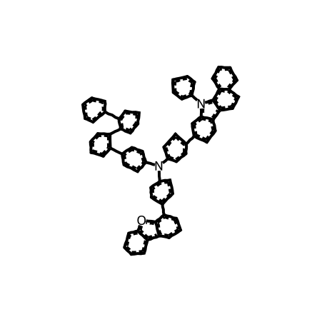 c1ccc(-c2ccccc2-c2ccccc2-c2ccc(N(c3ccc(-c4ccc5c6ccc7ccccc7c6n(-c6ccccc6)c5c4)cc3)c3ccc(-c4cccc5c4oc4ccccc45)cc3)cc2)cc1